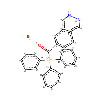 O=C(c1ccc2c(c1)=CNNC=2)[P+](c1ccccc1)(c1ccccc1)c1ccccc1.[Br-]